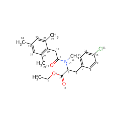 CCOC(=O)C(Cc1ccc(Cl)cc1)N(C)C(=O)Cc1c(C)cc(C)cc1C